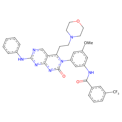 COc1cc(NC(=O)c2cccc(C(F)(F)F)c2)cc(-n2c(CCN3CCOCC3)c3cnc(Nc4ccccc4)nc3nc2=O)c1